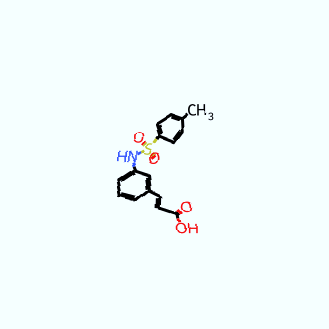 Cc1ccc(S(=O)(=O)Nc2cccc(/C=C/C(=O)O)c2)cc1